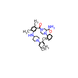 C#C/C=C(\C(C#N)=C/C)N1CCC(Nc2cc(C(=O)N3CCN(c4ccccc4)C(C(N)=O)C3)c(C)cc2C)CC1